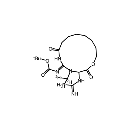 [2H]C([2H])([2H])N1C(=NC(=O)OC(C)(C)C)NC(=O)CCCCCCCOC(=O)C1NC(=N)N